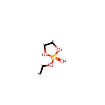 CCOP1(=O)OCCO1